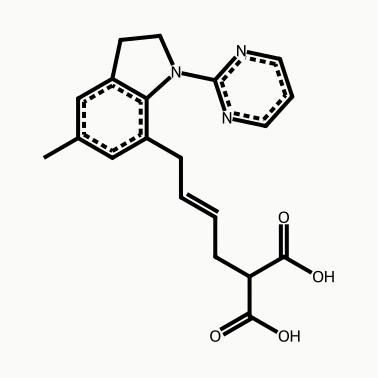 Cc1cc(CC=CCC(C(=O)O)C(=O)O)c2c(c1)CCN2c1ncccn1